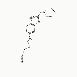 N#CCCCOc1ccc2[nH]c(CN3CCCCC3)nc2c1